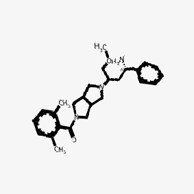 COCC(C[C@H](N)c1ccccc1)N1CC2CN(C(=O)c3c(C)cccc3C)CC2C1